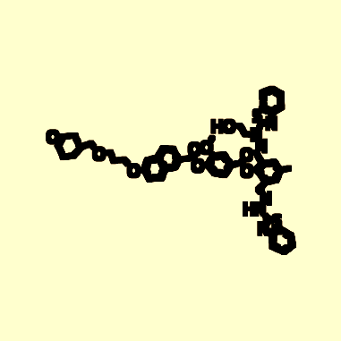 COc1cc(C(=O)Oc2c(/C=N/Nc3nc4ccccc4s3)cc(C)cc2/C=N/N(CCO)c2nc3ccccc3s2)ccc1OC(=O)c1ccc2cc(OCCCOCC3CCC4OC4C3)ccc2c1